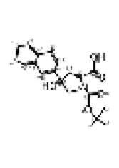 CC(C)(C)OC(=O)N1C[C@](O)(c2ccc3ccccc3c2)C[C@H]1C(=O)O